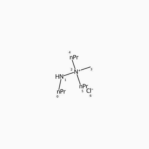 CCCN[N+](C)(CCC)CCC.[Cl-]